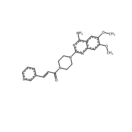 COc1cc2nc(N3CCN(C(=O)/C=C/c4cccnc4)CC3)nc(N)c2cc1OC